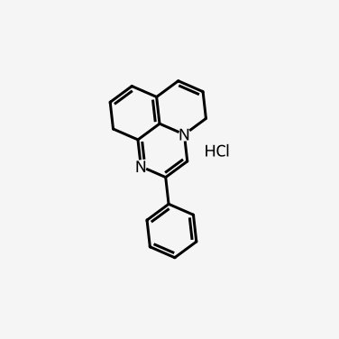 C1=CC2=C3C(=NC(c4ccccc4)=CN3CC=C2)C1.Cl